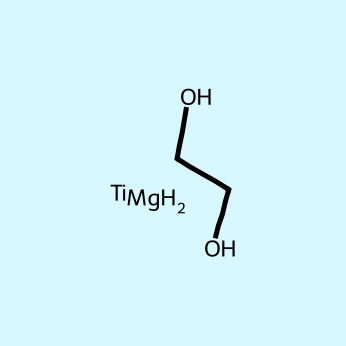 OCCO.[MgH2].[Ti]